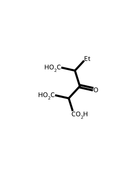 CCC(C(=O)O)C(=O)C(C(=O)O)C(=O)O